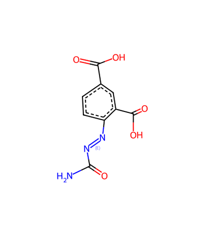 NC(=O)/N=N/c1ccc(C(=O)O)cc1C(=O)O